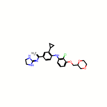 C=C(N=C1NCCN1)c1ccc(Nc2cccc(OCC3COCCO3)c2Cl)c(C2CC2)c1